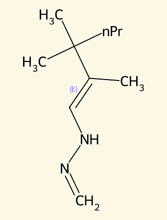 C=NN/C=C(\C)C(C)(C)CCC